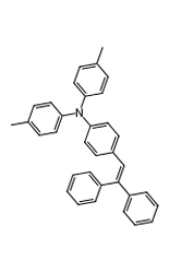 Cc1ccc(N(c2ccc(C)cc2)c2ccc(C=C(c3ccccc3)c3ccccc3)cc2)cc1